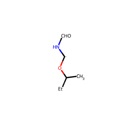 CCC(C)O[CH]NC=O